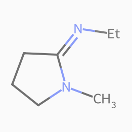 CC/N=C1/CCCN1C